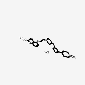 Cc1ccc2c(OCCN3CCC(Cc4cccc(C5CCN(C)CC5)c4)CC3)cccc2n1.Cl